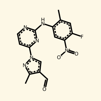 Cc1cc(F)c([N+](=O)[O-])cc1Nc1nccc(-n2cc(C=O)c(C)n2)n1